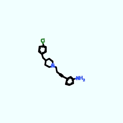 Nc1cccc(C#CCCN2CCC(Cc3ccc(Cl)cc3)CC2)c1